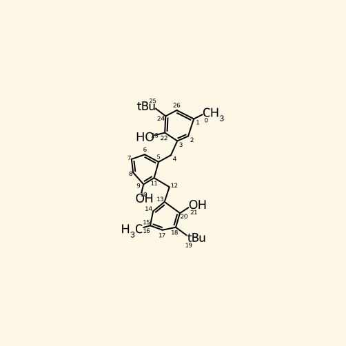 Cc1cc(Cc2cccc(O)c2Cc2cc(C)cc(C(C)(C)C)c2O)c(O)c(C(C)(C)C)c1